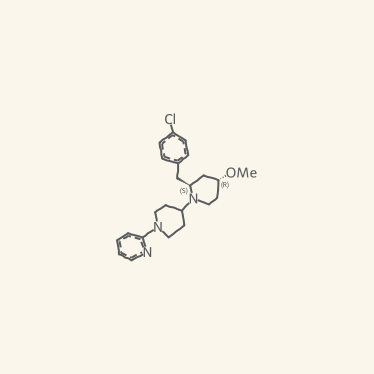 CO[C@@H]1CCN(C2CCN(c3ccccn3)CC2)[C@@H](Cc2ccc(Cl)cc2)C1